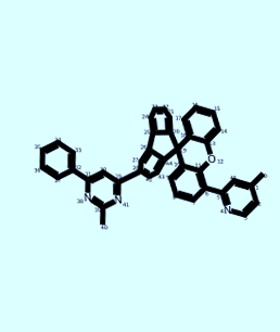 Cc1ccnc(-c2cccc3c2Oc2ccccc2C32c3ccccc3-c3cc(-c4cc(-c5ccccc5)nc(C)n4)ccc32)c1